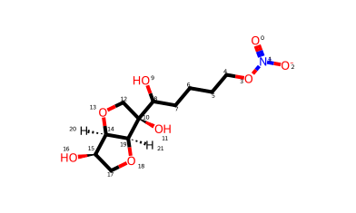 O=[N+]([O-])OCCCCC(O)[C@@]1(O)CO[C@@H]2[C@H](O)CO[C@@H]21